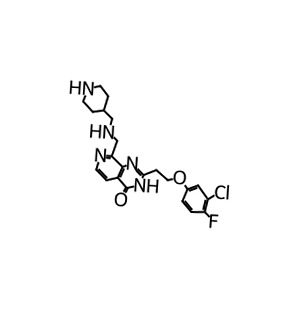 O=c1[nH]c(CCOc2ccc(F)c(Cl)c2)nc2c(CNCC3CCNCC3)nccc12